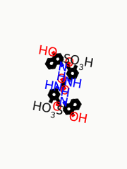 Cc1ccc(NC(=O)C(=O)Nc2ccc(C)c(C(=O)Nc3c(S(=O)(=O)O)cc(O)c4ccccc34)c2)cc1C(=O)Nc1c(S(=O)(=O)O)cc(O)c2ccccc12